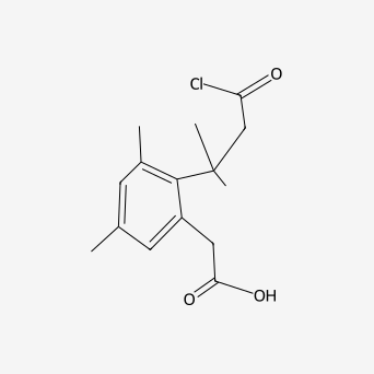 Cc1cc(C)c(C(C)(C)CC(=O)Cl)c(CC(=O)O)c1